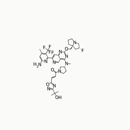 Cc1cc(N)nc(-c2ncc3c(N(C)[C@@H]4CCN(C(=O)/C=C/c5nc(C(C)(C)O)no5)C4)nc(OC[C@@]45CCCN4C[C@H](F)C5)nc3c2F)c1C(F)(F)F